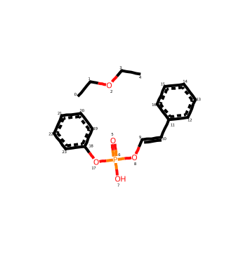 CCOCC.O=P(O)(O/C=C/c1ccccc1)Oc1ccccc1